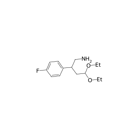 CCOC(CC(CN)c1ccc(F)cc1)OCC